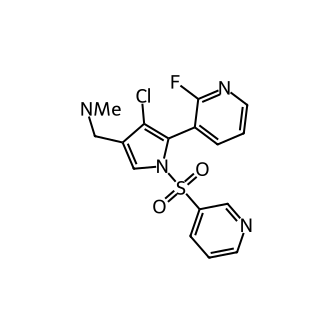 CNCc1cn(S(=O)(=O)c2cccnc2)c(-c2cccnc2F)c1Cl